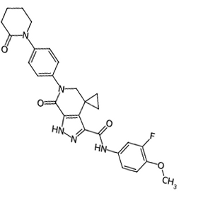 COc1ccc(NC(=O)c2n[nH]c3c2C2(CC2)CN(c2ccc(N4CCCCC4=O)cc2)C3=O)cc1F